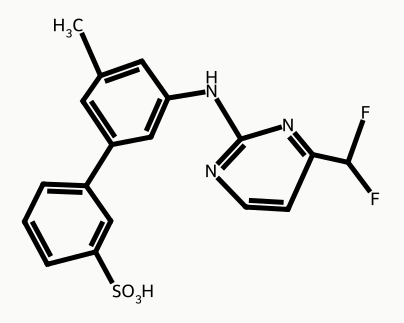 Cc1cc(Nc2nccc(C(F)F)n2)cc(-c2cccc(S(=O)(=O)O)c2)c1